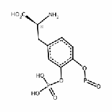 N[C@@H](Cc1ccc(OP=O)c(OP(=O)(O)O)c1)C(=O)O